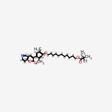 CCC(C)(C)C(=O)OCCCCCCCCCCCOc1cc(C)c(-c2cc3cnccc3oc2=O)cc1C